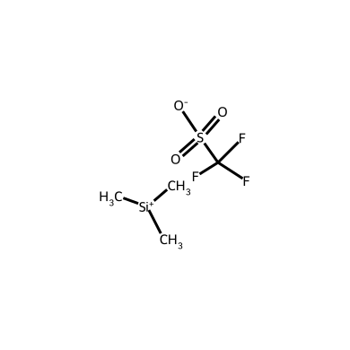 C[Si+](C)C.O=S(=O)([O-])C(F)(F)F